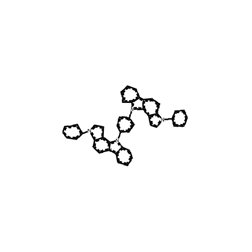 c1ccc(-n2ccc3c2ccc2c4ccccc4n(-c4ccc(-n5c6ccccc6c6ccc7c(ccn7-c7ccccc7)c65)cc4)c23)cc1